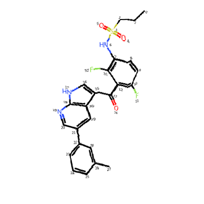 CCCS(=O)(=O)Nc1ccc(F)c(C(=O)c2c[nH]c3ncc(-c4cccc(C)c4)cc23)c1F